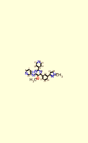 COc1c(Nc2cccnc2)nc(-c2ccncc2)nc1-c1cccc(-c2ccn(C)n2)c1